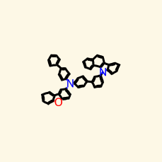 c1ccc(-c2ccc(N(c3ccc(-c4cccc(-n5c6ccccc6c6ccc7ccccc7c65)c4)cc3)c3ccc4oc5ccccc5c4c3)cc2)cc1